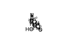 CC[C@]12CC[C@H]3[C@@H](C[C@@H](CO)C4=CC(=O)CC[C@@H]43)[C@@H]1CC[C@@H]2C#N